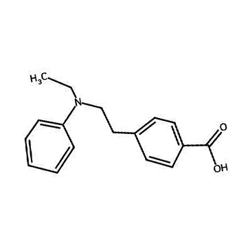 CCN(CCc1ccc(C(=O)O)cc1)c1ccccc1